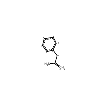 C=C(N)Cc1ccccn1